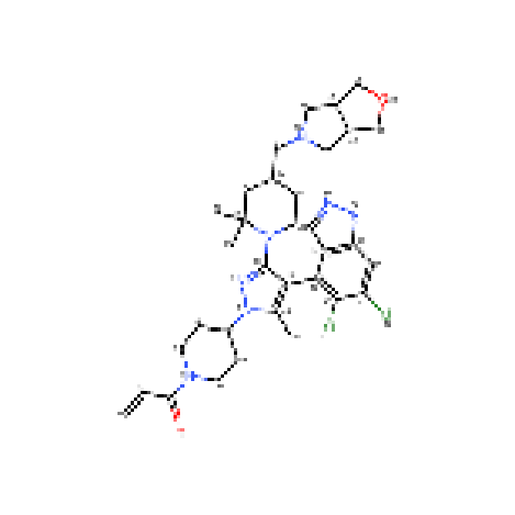 C=CC(=O)N1CCC(n2nc(N3CCC(CN4CC5COCC5C4)CC3(C)C)c(-c3c(Cl)c(Cl)cc4[nH]ncc34)c2C)CC1